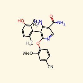 COc1cc(C#N)ccc1Oc1ncc(C(N)=O)c(N)c1-c1c(C)ccc(O)c1C